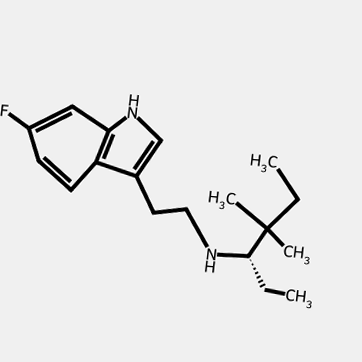 CC[C@H](NCCc1c[nH]c2cc(F)ccc12)C(C)(C)CC